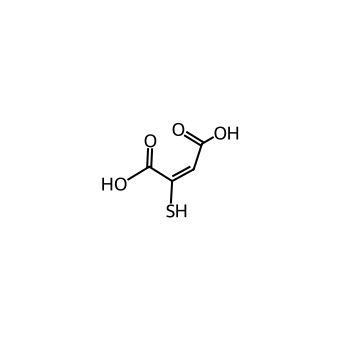 O=C(O)/C=C(/S)C(=O)O